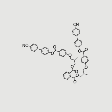 CC(COC(=O)c1ccccc1C(=O)OCC(C)COc1ccc(C(=O)Oc2ccc(-c3ccc(C#N)cc3)cc2)cc1)COc1ccc(C(=O)Oc2ccc(-c3ccc(C#N)cc3)cc2)cc1